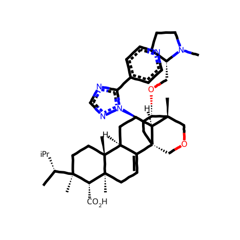 CC(C)[C@@H](C)[C@@]1(C)CC[C@]2(C)[C@H]3CC[C@@H]4[C@@]5(COC[C@@]4(C)[C@@H](OC[C@@H]4CCCN4C)[C@H](n4ncnc4-c4ccncc4)C5)C3=CC[C@@]2(C)[C@@H]1C(=O)O